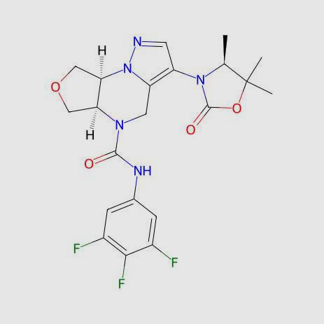 C[C@@H]1N(c2cnn3c2CN(C(=O)Nc2cc(F)c(F)c(F)c2)[C@H]2COC[C@H]23)C(=O)OC1(C)C